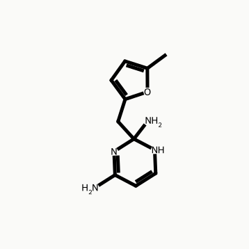 Cc1ccc(CC2(N)N=C(N)C=CN2)o1